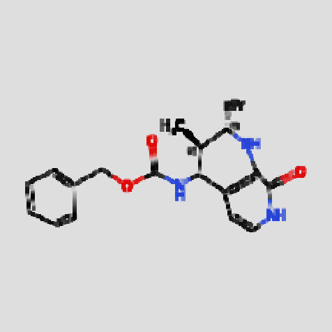 CCC[C@@H]1Nc2c(cc[nH]c2=O)C(NC(=O)OCc2ccccc2)[C@H]1C